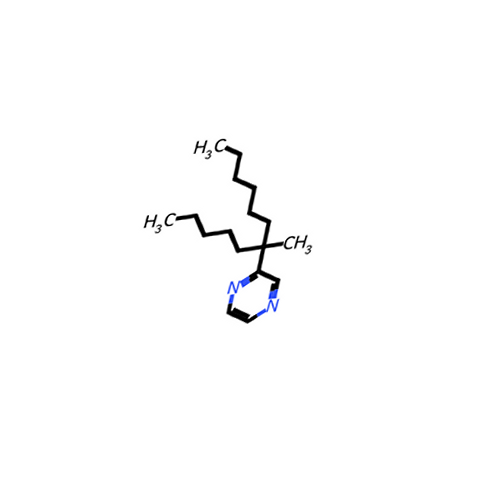 CCCCCCC(C)(CCCCC)c1cnccn1